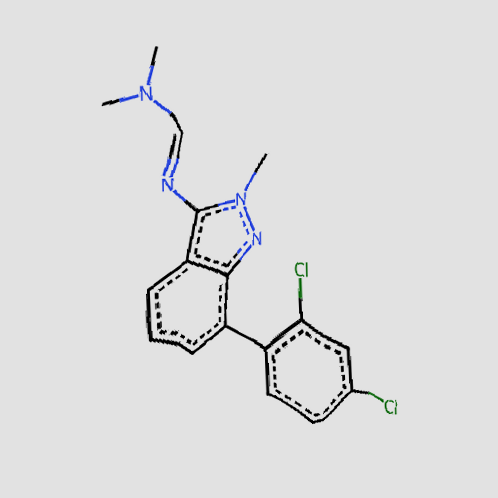 CN(C)C=Nc1c2cccc(-c3ccc(Cl)cc3Cl)c2nn1C